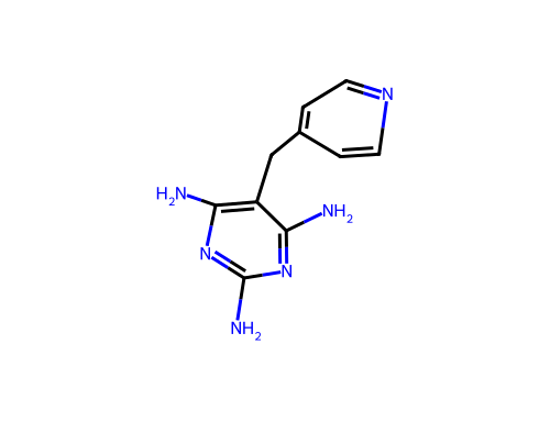 Nc1nc(N)c(Cc2ccncc2)c(N)n1